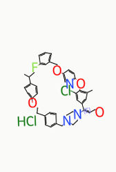 Cc1cc(/C(=C\C=O)N2CCN(Cc3ccc(CCOc4ccc(C(C)C)cc4)cc3)CC2)cc(Cl)c1Oc1ccc(OCc2cccc(F)c2)cn1.Cl